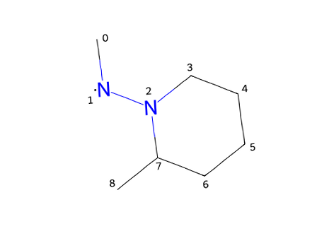 C[N]N1CCCCC1C